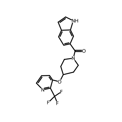 O=C(c1ccc2cc[nH]c2c1)N1CCC(Oc2cccnc2C(F)(F)F)CC1